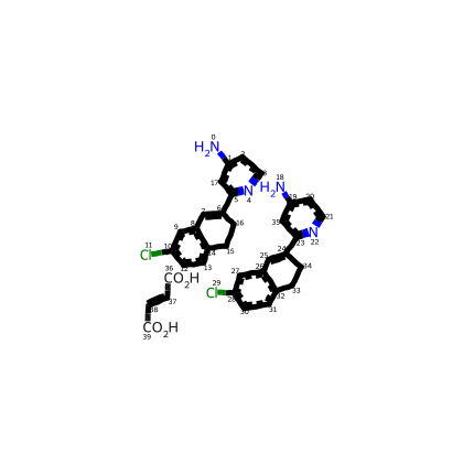 Nc1ccnc(C2=Cc3cc(Cl)ccc3CC2)c1.Nc1ccnc(C2=Cc3cc(Cl)ccc3CC2)c1.O=C(O)/C=C/C(=O)O